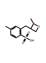 CCC1(Cc2cc(C)ccc2S(=O)(=O)O)COC1